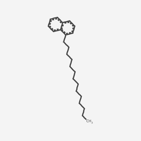 CCCCCCCCCCCCC[CH]c1cccc2ccccc12